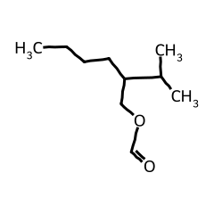 CCCCC(COC=O)C(C)C